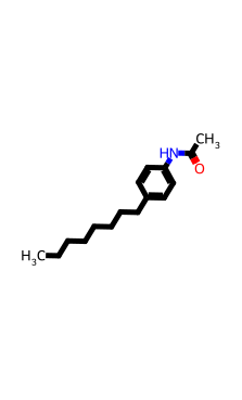 CCCCCCCCc1ccc(NC(C)=O)cc1